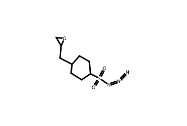 [N-]=[N+]=NS(=O)(=O)C1CCC(CC2CO2)CC1